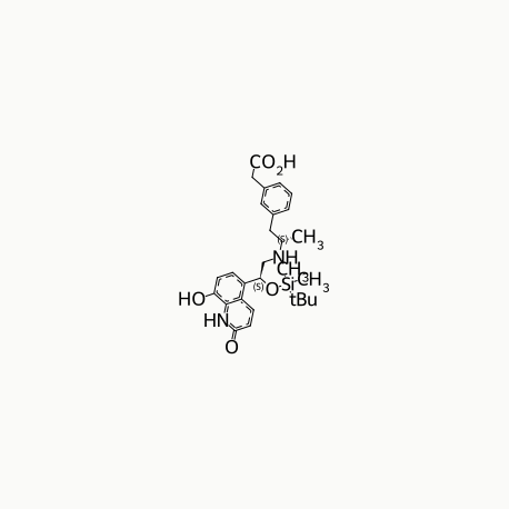 C[C@@H](Cc1cccc(CC(=O)O)c1)NC[C@@H](O[Si](C)(C)C(C)(C)C)c1ccc(O)c2[nH]c(=O)ccc12